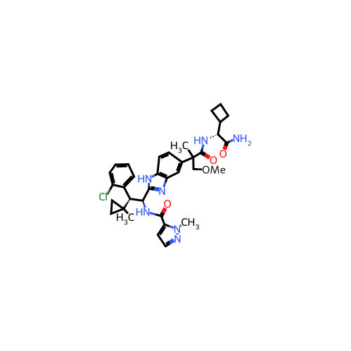 COCC(C)(C(=O)N[C@@H](C(N)=O)C1CCC1)c1ccc2[nH]c([C@@H](NC(=O)c3ccnn3C)[C@H](c3ccccc3Cl)C3(C)CC3)nc2c1